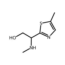 CNC(CO)c1ncc(C)s1